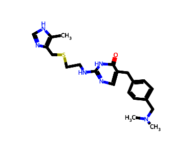 Cc1[nH]cnc1CSCCNc1ncc(Cc2ccc(CN(C)C)cc2)c(=O)[nH]1